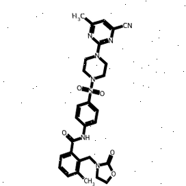 Cc1cc(C#N)nc(N2CCN(S(=O)(=O)c3ccc(NC(=O)c4cccc(C)c4CN4CCOC4=O)cc3)CC2)n1